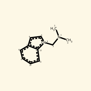 CN(C)Cn1[c]cc2ccccc21